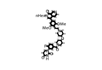 CCCCCCn1cc(-c2cc(OC)c(CCN3CCC(OC4CCN(C(=O)c5ccc(F)c(N6CCC(=O)NC6=O)c5)CC4)CC3)c(OC)c2)c2ccncc2c1=O